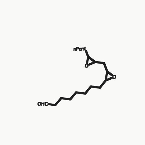 CCCCCC1OC1CC1OC1CCCCCCCC=O